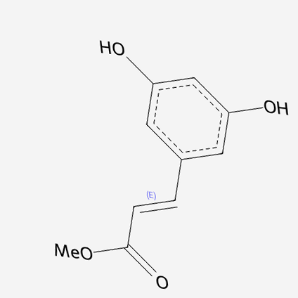 COC(=O)/C=C/c1cc(O)cc(O)c1